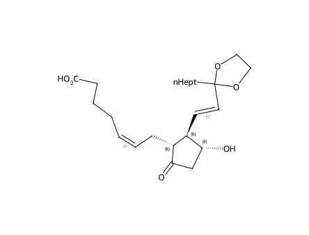 CCCCCCCC1(/C=C/[C@H]2[C@H](O)CC(=O)[C@@H]2C/C=C\CCCC(=O)O)OCCO1